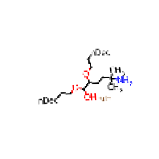 Br.CCCCCCCCCCCCOC(O)C(CCC(C)(C)N)OCCCCCCCCCCCC